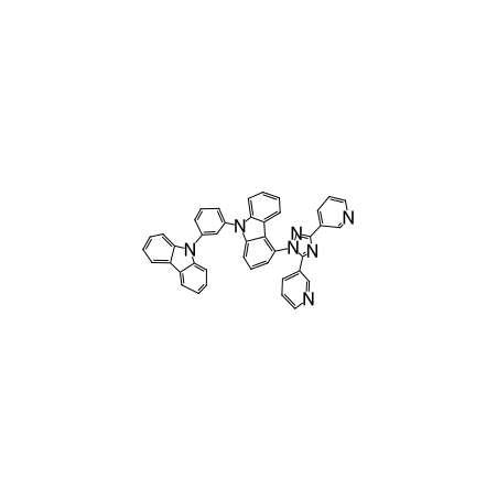 c1cncc(-c2nc(-c3cccnc3)n(-c3cccc4c3c3ccccc3n4-c3cccc(-n4c5ccccc5c5ccccc54)c3)n2)c1